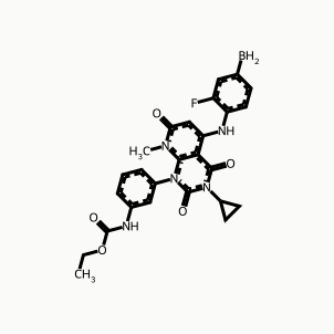 Bc1ccc(Nc2cc(=O)n(C)c3c2c(=O)n(C2CC2)c(=O)n3-c2cccc(NC(=O)OCC)c2)c(F)c1